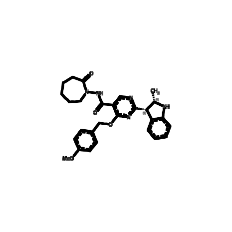 COc1ccc(COc2nc([C@H]3c4ccccc4N[C@H]3C)ncc2C(=O)NN2CCCCCC2=O)cc1